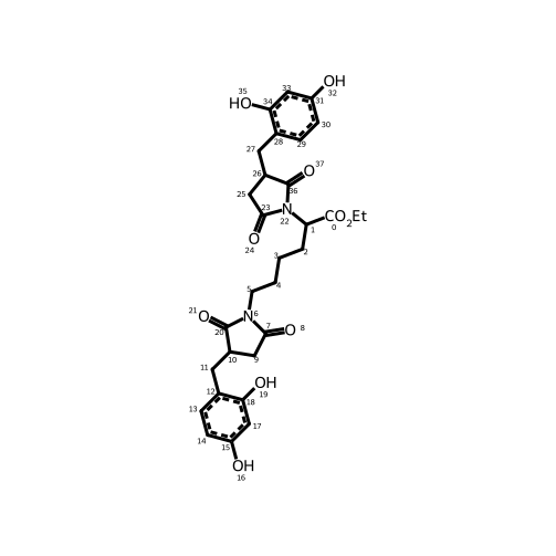 CCOC(=O)C(CCCCN1C(=O)CC(Cc2ccc(O)cc2O)C1=O)N1C(=O)CC(Cc2ccc(O)cc2O)C1=O